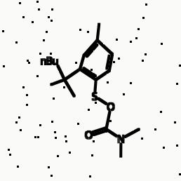 CCCCC(C)(C)c1cc(C)ccc1SOC(=O)N(C)C